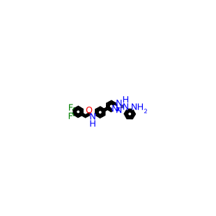 Nc1ccccc1Nc1nc2ccc(-c3ccc(NC(=O)Cc4ccc(F)c(F)c4)cc3)cn2n1